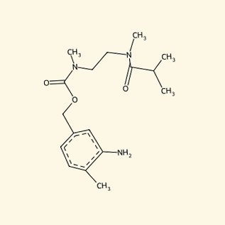 Cc1ccc(COC(=O)N(C)CCN(C)C(=O)C(C)C)cc1N